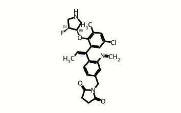 C=Nc1cc(CN2C(=O)CCC2=O)ccc1/C(=C\C)c1cc(Cl)cc(C)c1O[C@@H]1CNC[C@@H]1F